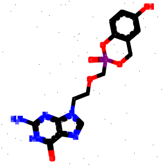 Nc1nc2c(ncn2CCOCP2(=O)OCc3cc(O)ccc3O2)c(=O)[nH]1